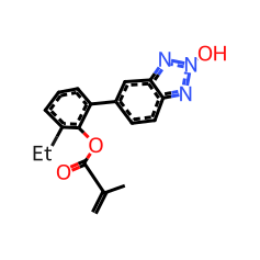 C=C(C)C(=O)Oc1c(CC)cccc1-c1ccc2nn(O)nc2c1